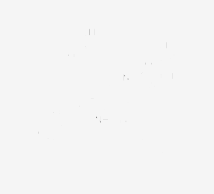 COC(=O)C=C(Nc1cc2c(cc1OCc1ccccc1)N(C(=O)OC(C)(C)C)CC2COC(C)=O)C(F)(F)F